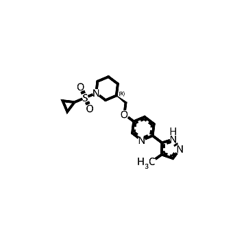 Cc1cn[nH]c1-c1ccc(OC[C@@H]2CCCN(S(=O)(=O)C3CC3)C2)cn1